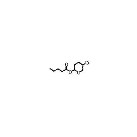 CCCCC(=O)OC1CCC([O])CO1